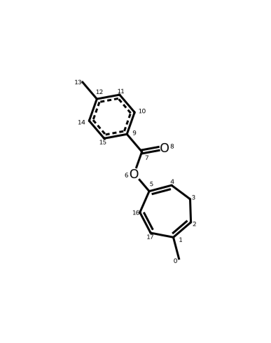 CC1=CCC=C(OC(=O)c2ccc(C)cc2)C=C1